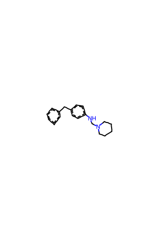 c1ccc(Cc2ccc(NCN3CCCCC3)cc2)cc1